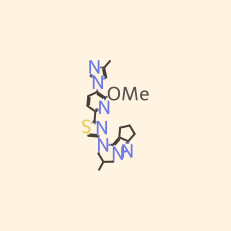 COc1nc(-c2nc(N3CC(C)Cn4nc5c(c43)CCC5)cs2)ccc1-n1cnc(C)c1